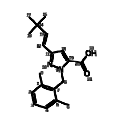 Cc1cccc(C)c1Cn1nc(C=CC(C)(C)C)cc1C(=O)O